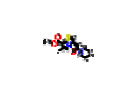 Cc1cn2c(c1C(=O)OC(C)C)SCC2=CC(=O)N1CCCCC1